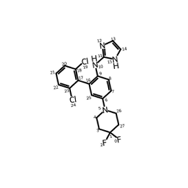 FC1(F)CCN(c2ccc(Nc3ncc[nH]3)c(-c3c(Cl)cccc3Cl)c2)CC1